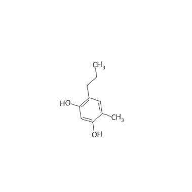 CCCc1cc(C)c(O)cc1O